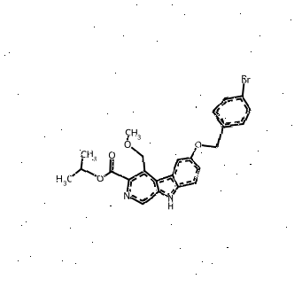 COCc1c(C(=O)OC(C)C)ncc2[nH]c3ccc(OCc4ccc(Br)cc4)cc3c12